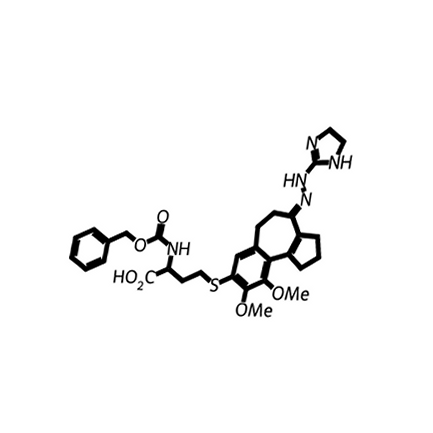 COc1c(SCCC(NC(=O)OCc2ccccc2)C(=O)O)cc2c(c1OC)C1=C(CCC1)C(=NNC1=NCCN1)CC2